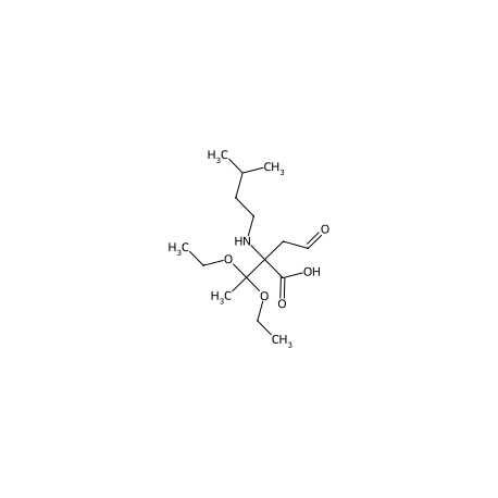 CCOC(C)(OCC)C(CC=O)(NCCC(C)C)C(=O)O